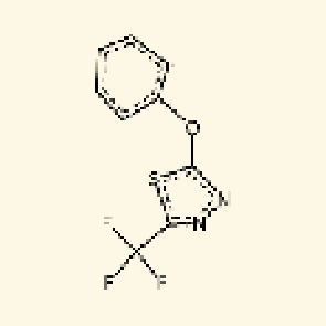 FC(F)(F)c1nnc(Oc2[c]cccc2)s1